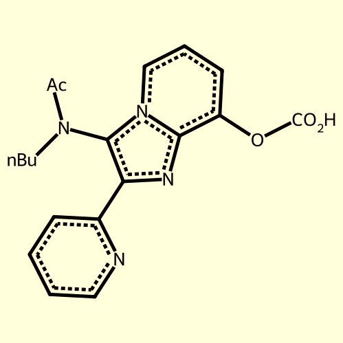 CCCCN(C(C)=O)c1c(-c2ccccn2)nc2c(OC(=O)O)cccn12